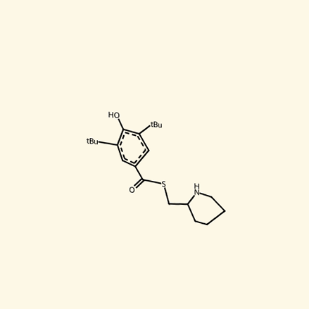 CC(C)(C)c1cc(C(=O)SCC2CCCCN2)cc(C(C)(C)C)c1O